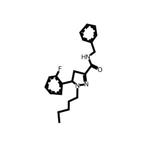 CCCCCN1N=C(C(=O)NCc2ccccc2)CC1c1ccccc1F